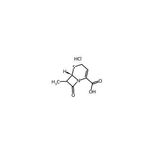 CC1C(=O)N2C(C(=O)O)=CCS[C@@H]12.Cl